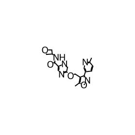 Cc1ccc(-c2noc(C)c2COc2cnc(C(=O)NC3COC3)cn2)cn1